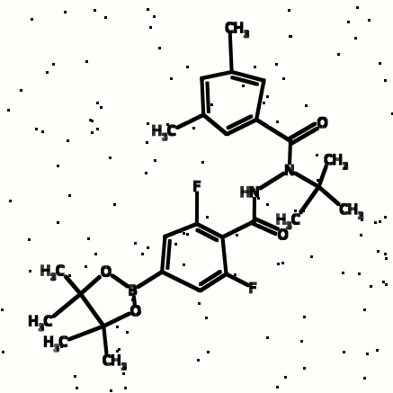 Cc1cc(C)cc(C(=O)N(NC(=O)c2c(F)cc(B3OC(C)(C)C(C)(C)O3)cc2F)C(C)(C)C)c1